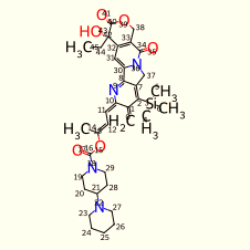 C=c1c([Si](C)(C)C)c2c(n/c1=C/C=C(\C)OC(=O)N1CCC(N3CCCCC3)CC1)-c1cc3c(c(=O)n1C2)COC(=O)[C@]3(O)CC